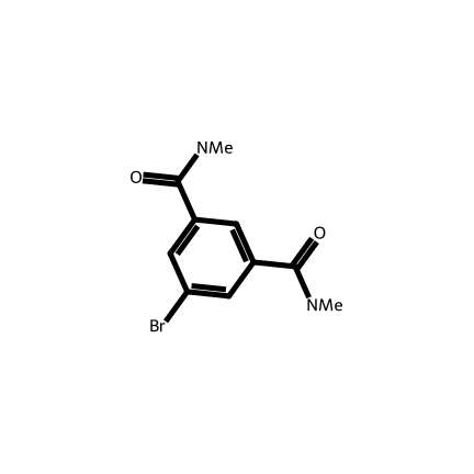 CNC(=O)c1cc(Br)cc(C(=O)NC)c1